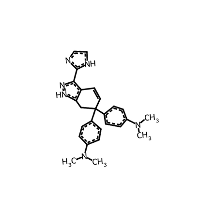 CN(C)c1ccc(C2(c3ccc(N(C)C)cc3)C=Cc3c(-c4ncc[nH]4)n[nH]c3C2)cc1